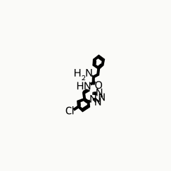 N[C@@H](Cc1ccccc1)C(=O)NC=Cc1cc(Cl)ccc1-n1cnnn1